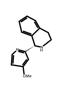 COc1ccnc([C@H]2NCCc3ccccc32)c1